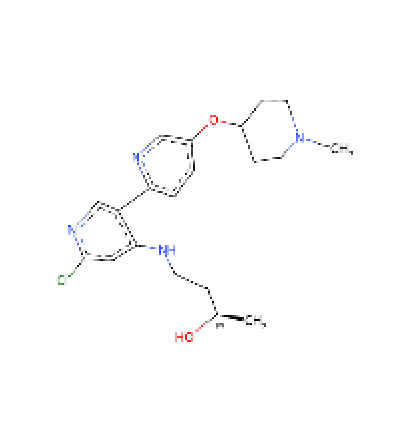 C[C@@H](O)CCNc1cc(Cl)ncc1-c1ccc(OC2CCN(C)CC2)cn1